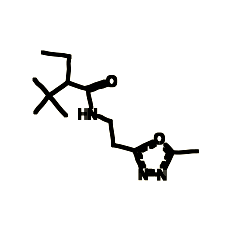 CCC(C(=O)NCCc1nnc(C)o1)C(C)(C)C